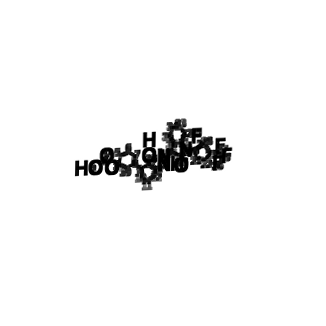 O=C(O)Oc1cccc(-c2cccc(NN=C3C(=O)N(c4ccc(C(F)(F)F)cc4F)c4ccccc43)c2O)c1